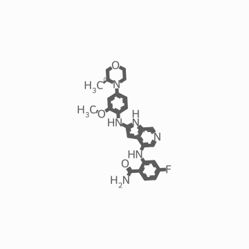 COc1cc(N2CCOC[C@@H]2C)ccc1Nc1cc2c(Nc3cc(F)ccc3C(N)=O)cncc2[nH]1